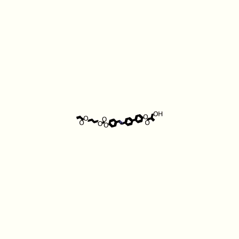 C=CC(=O)OCCCCOC(=O)Oc1ccc(/C=C/c2ccc(-c3ccc(OC(=O)C(=C)CO)cc3)cc2)cc1